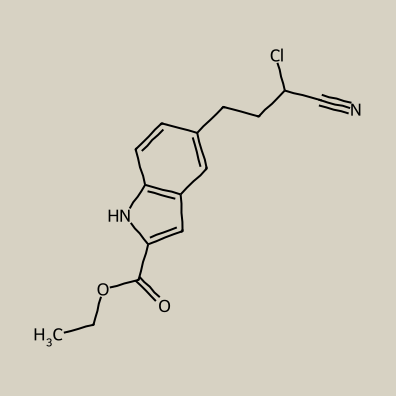 CCOC(=O)c1cc2cc(CCC(Cl)C#N)ccc2[nH]1